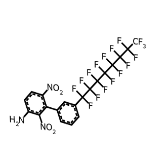 Nc1ccc([N+](=O)[O-])c(-c2cccc(C(F)(F)C(F)(F)C(F)(F)C(F)(F)C(F)(F)C(F)(F)C(F)(F)C(F)(F)F)c2)c1[N+](=O)[O-]